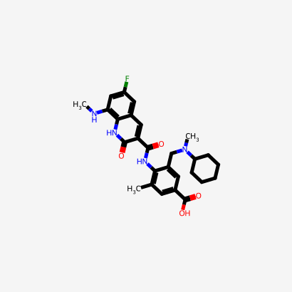 CNc1cc(F)cc2cc(C(=O)Nc3c(C)cc(C(=O)O)cc3CN(C)C3CCCCC3)c(=O)[nH]c12